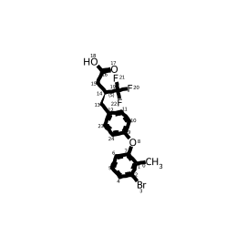 Cc1c(Br)cccc1Oc1ccc(C[C@@H](CC(=O)O)C(F)(F)F)cc1